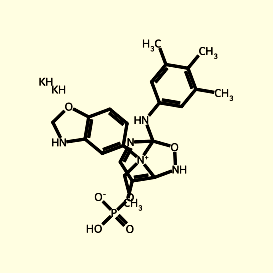 CC1=C2NOC(Nc3cc(C)c(C)c(C)c3)(N=C1)[N+]2(COP(=O)([O-])O)c1ccc2c(c1)NCO2.[KH].[KH]